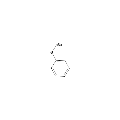 CCCC[B]c1ccccc1